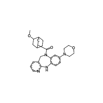 COC1CC2CCC1CC2C(=O)N1Cc2cccnc2Nc2ccc(N3CCOCC3)cc21